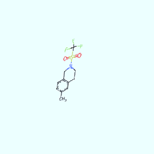 Cc1ccc2c(c1)CCN(S(=O)(=O)C(F)(F)F)C2